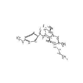 COc1ccc(C(=O)O[C@H]2[C@H](F)[C@@H](Br)S[C@H]2N[C@@H](CCSC)C(=O)O)cc1